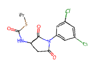 CC(C)SC(=O)NC1CC(=O)N(c2cc(Cl)cc(Cl)c2)C1=O